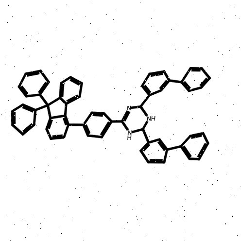 c1ccc(-c2cccc(C3N=C(c4ccc(-c5cccc6c5-c5ccccc5C6(c5ccccc5)c5ccccc5)cc4)NC(c4cccc(-c5ccccc5)c4)N3)c2)cc1